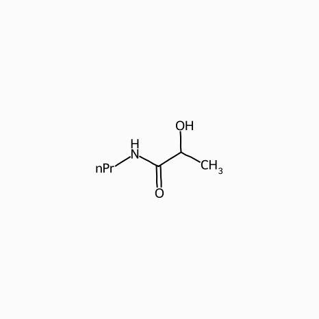 [CH2]CCNC(=O)C(C)O